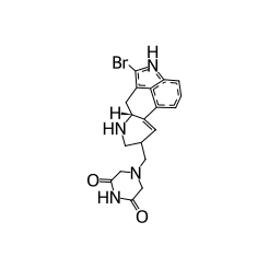 O=C1CN(CC2C=C3c4cccc5[nH]c(Br)c(c45)C[C@H]3NC2)CC(=O)N1